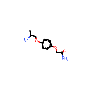 CC(N)COc1ccc(OCC(N)=O)cc1